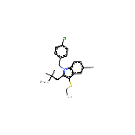 CCOC(=O)C(C)(C)Cc1c(SCC(C)(C)C)c2cc(C(C)C)ccc2n1Cc1ccc(Cl)cc1